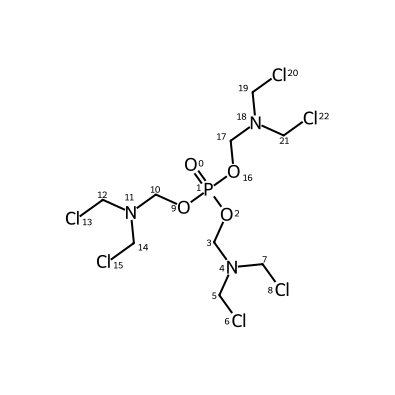 O=P(OCN(CCl)CCl)(OCN(CCl)CCl)OCN(CCl)CCl